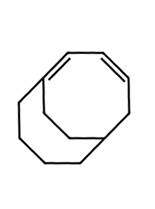 C1=CCC2CCCCC(=C1)CC2